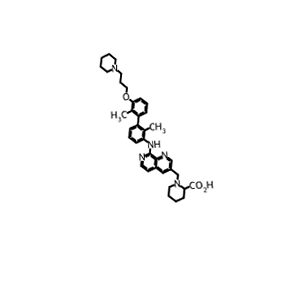 Cc1c(Nc2nccc3cc(CN4CCCCC4C(=O)O)cnc23)cccc1-c1cccc(OCCCN2CCCCC2)c1C